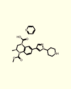 COC(=O)N1c2ccc(-c3cnn(C4CCNCC4)c3)cc2N(C(=O)O)C[C@@H]1C.c1ccncc1